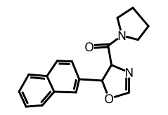 O=C(C1N=COC1c1ccc2ccccc2c1)N1CCCC1